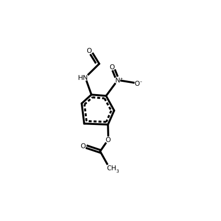 CC(=O)Oc1ccc(NC=O)c([N+](=O)[O-])c1